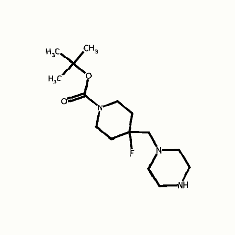 CC(C)(C)OC(=O)N1CCC(F)(CN2CCNCC2)CC1